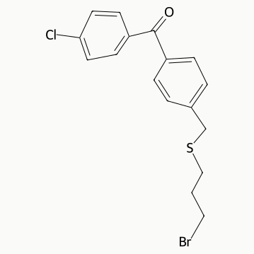 O=C(c1ccc(Cl)cc1)c1ccc(CSCCCBr)cc1